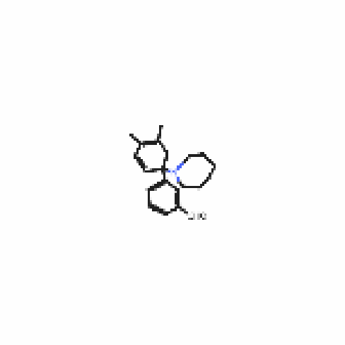 CC1=C(C)CC(c2cccc(C=O)c2)(N2CCCCCC2)C=C1